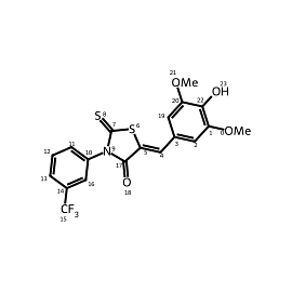 COc1cc(/C=C2\SC(=S)N(c3cccc(C(F)(F)F)c3)C2=O)cc(OC)c1O